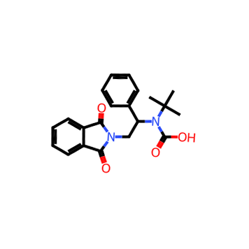 CC(C)(C)N(C(=O)O)C(CN1C(=O)c2ccccc2C1=O)c1ccccc1